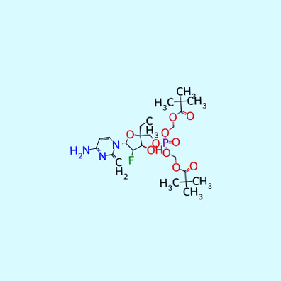 C=C1N=C(N)C=CN1[C@@H]1O[C@](CC)(COP(=O)(OCOC(=O)C(C)(C)C)OCOC(=O)C(C)(C)C)[C@@H](O)[C@H]1F